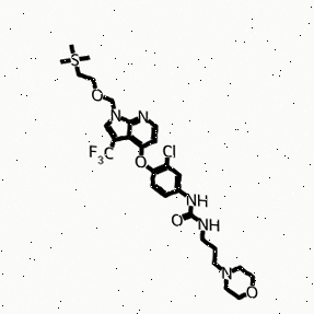 CS(C)(C)CCOCn1cc(C(F)(F)F)c2c(Oc3ccc(NC(=O)NCCCN4CCOCC4)cc3Cl)ccnc21